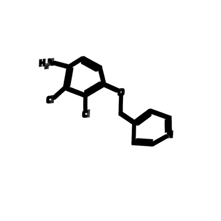 Nc1ccc(OCc2ccncc2)c(Cl)c1Cl